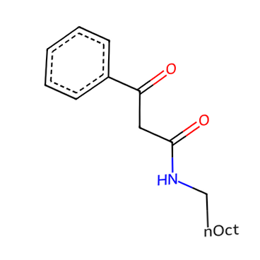 CCCCCCCCCNC(=O)CC(=O)c1ccccc1